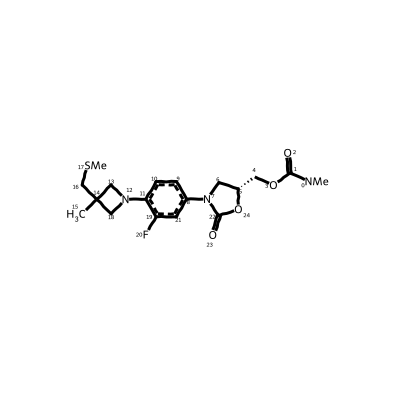 CNC(=O)OC[C@H]1CN(c2ccc(N3CC(C)(CSC)C3)c(F)c2)C(=O)O1